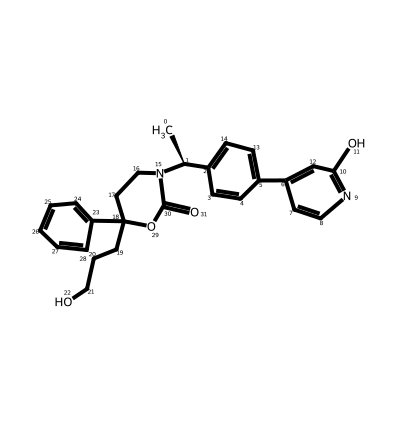 C[C@@H](c1ccc(-c2ccnc(O)c2)cc1)N1CCC(CCCO)(c2ccccc2)OC1=O